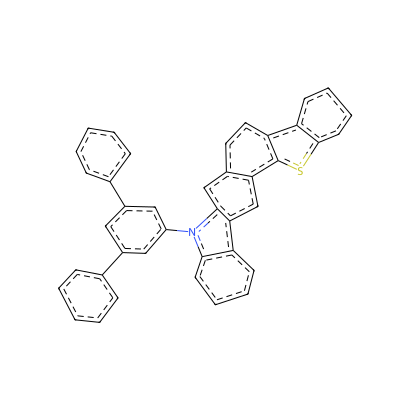 c1ccc(-c2cc(-c3ccccc3)cc(-n3c4ccccc4c4cc5c(ccc6c7ccccc7sc56)cc43)c2)cc1